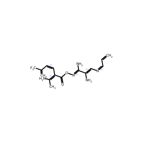 C=C\C=N/C=C(N)/C(N)=N/OC(=O)C(/C=C\C(=C)C(F)(F)F)=C(\C)N